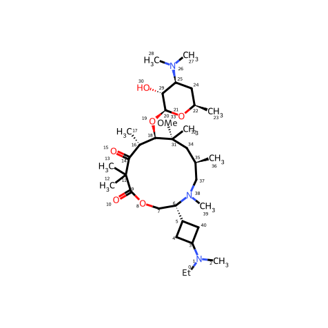 CCN(C)C1CC([C@@H]2COC(=O)C(C)(C)C(=O)[C@H](C)[C@@H](O[C@@H]3O[C@H](C)C[C@H](N(C)C)[C@H]3O)[C@](C)(OC)C[C@@H](C)CN2C)C1